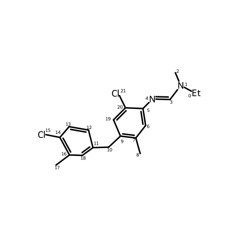 CCN(C)C=Nc1cc(C)c(Cc2ccc(Cl)c(C)c2)cc1Cl